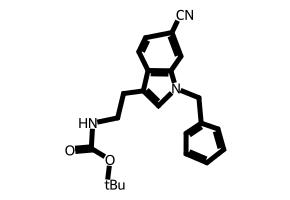 CC(C)(C)OC(=O)NCCc1cn(Cc2ccccc2)c2cc(C#N)ccc12